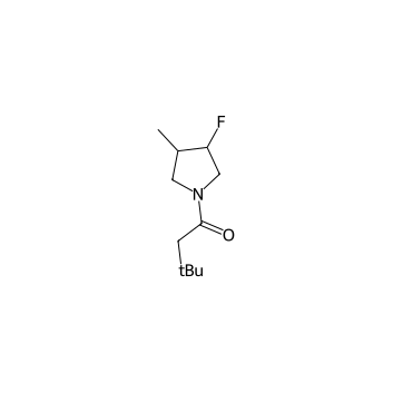 CC1CN(C(=O)CC(C)(C)C)CC1F